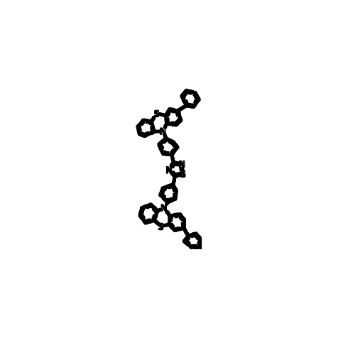 c1ccc(-c2ccc3c(c2)Sc2ccccc2N3c2ccc(-c3nsc(-c4ccc(N5c6ccccc6Sc6cc(-c7ccccc7)ccc65)cc4)n3)cc2)cc1